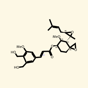 COc1cc(/C=C/C(=O)O[C@@H]2CC[C@]3(CO3)[C@@H](C3(C)O[C@@H]3CC=C(C)C)[C@@H]2OC)cc(CO)c1CO